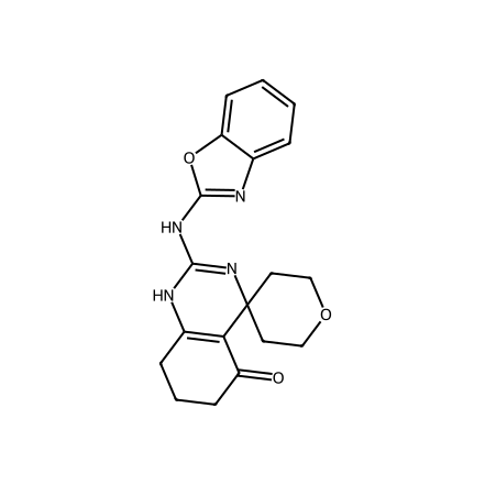 O=C1CCCC2=C1C1(CCOCC1)N=C(Nc1nc3ccccc3o1)N2